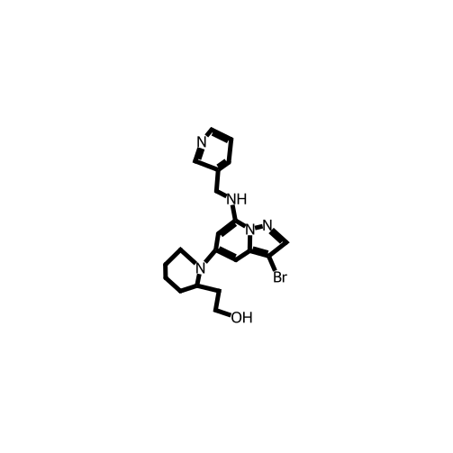 OCCC1CCCCN1c1cc(NCc2cccnc2)n2ncc(Br)c2c1